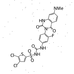 CNc1ccc2c(=O)n(-c3ccc(NC(=O)NS(=O)(=O)c4cc(Cl)c(Cl)s4)cc3F)c(=O)[nH]c2c1